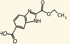 CCOC(=O)c1nc2ccc(C(=O)O)cc2[nH]1